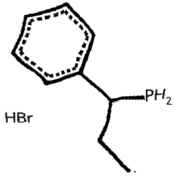 Br.[CH2]CC(P)c1ccccc1